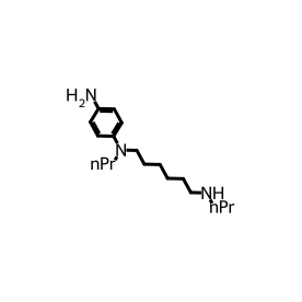 CCCNCCCCCCN(CCC)c1ccc(N)cc1